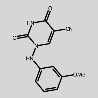 COc1cccc(Nn2cc(C#N)c(=O)[nH]c2=O)c1